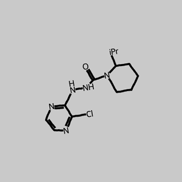 CC(C)C1CCCCN1C(=O)NNc1nccnc1Cl